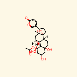 CC(=O)O[C@@H]1C[C@H](O)C[C@@]2(O)CC[C@@H]3[C@@H]4[C@@H](C[C@]5(C)[C@@H](c6ccc(=O)oc6)CC[C@]35O)OC(O)[C@]412